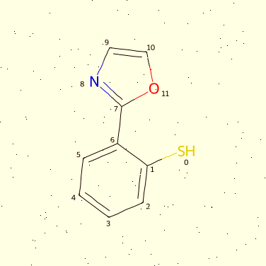 Sc1ccccc1-c1ncco1